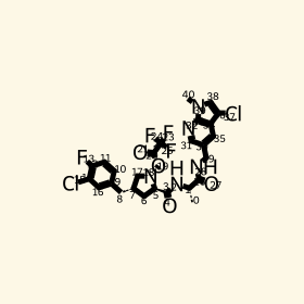 C[C@H](NC(=O)[C@H]1C[C@H](Cc2ccc(F)c(Cl)c2)CN1OC(=O)C(F)(F)F)C(=O)NCc1cnc2c(c1)c(Cl)cn2C